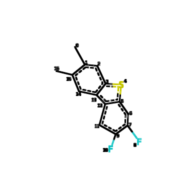 Cc1cc2sc3cc(F)c(F)cc3c2cc1C